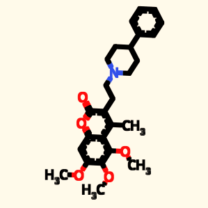 COc1cc2oc(=O)c(CCN3CCC(c4ccccc4)CC3)c(C)c2c(OC)c1OC